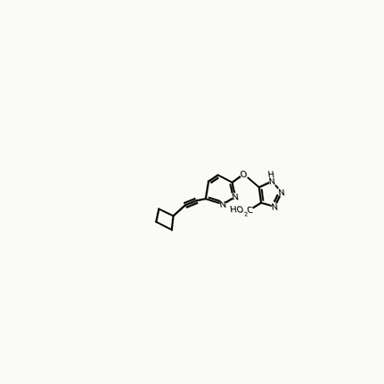 O=C(O)c1nn[nH]c1Oc1ccc(C#CC2CCC2)nn1